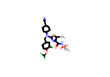 Cc1sc(N(Cc2ccc(OC(F)F)c(F)c2)c2ccc(C#N)cc2)nc1C(=O)NS(C)(=O)=O